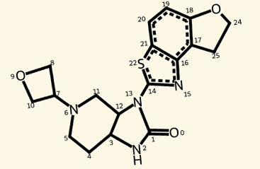 O=C1NC2CCN(C3COC3)CC2N1c1nc2c3c(ccc2s1)OCC3